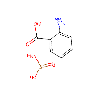 Nc1ccccc1C(=O)O.O=S(O)O